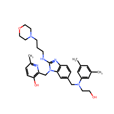 Cc1cc(C)cc(N(CCO)Cc2ccc3nc(NCCCN4CCOCC4)n(Cc4nc(C)ccc4O)c3c2)c1